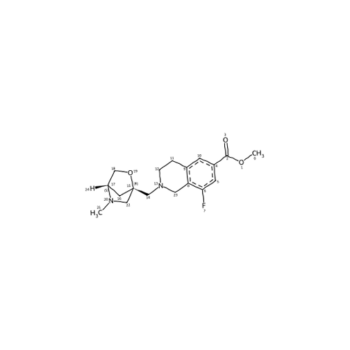 COC(=O)c1cc(F)c2c(c1)CCN(C[C@@]13C[C@@H](CO1)N(C)C3)C2